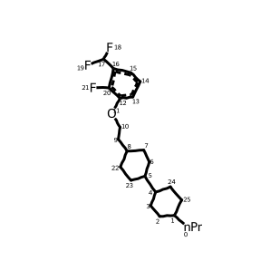 CCCC1CCC(C2CCC(CCOc3cccc(C(F)F)c3F)CC2)CC1